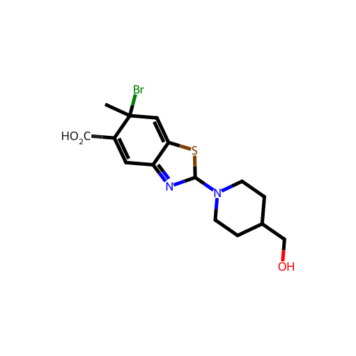 CC1(Br)C=C2SC(N3CCC(CO)CC3)N=C2C=C1C(=O)O